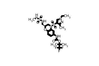 CCn1cc(S(=O)(=O)N2C[C@H](CNS(=O)(=O)NC)Oc3ccc(NC(=O)OC(C)(C)C(F)(F)F)cc32)c(C)n1